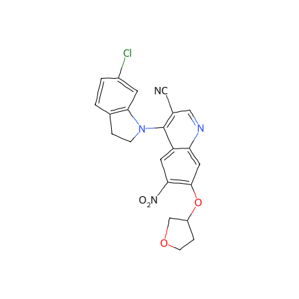 N#Cc1cnc2cc(OC3CCOC3)c([N+](=O)[O-])cc2c1N1CCc2ccc(Cl)cc21